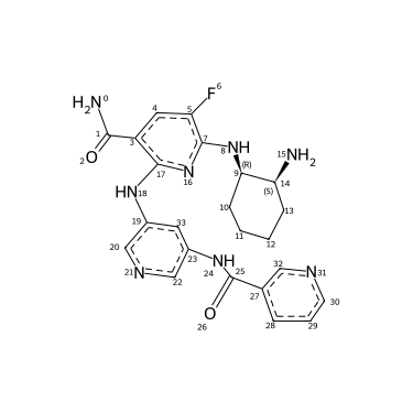 NC(=O)c1cc(F)c(N[C@@H]2CCCC[C@@H]2N)nc1Nc1cncc(NC(=O)c2cccnc2)c1